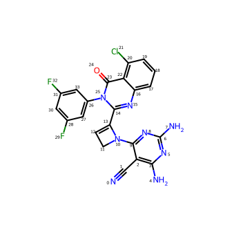 N#Cc1c(N)nc(N)nc1N1CC=C1c1nc2cccc(Cl)c2c(=O)n1-c1cc(F)cc(F)c1